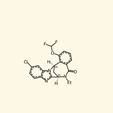 CCN1C(=O)c2cccc(OC(F)F)c2[C@H]2C[C@@H]1c1nc3ccc(Cl)cc3n12